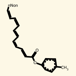 CCCCCCCCC\C=C/C=C\C=C\C=C/C=C/C(=O)Oc1ccc(C)cc1